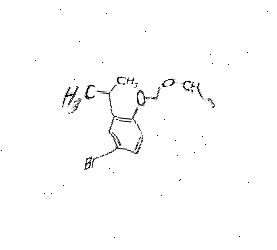 COCOc1ccc(Br)cc1C(C)C